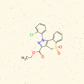 CCOC(=O)c1nn(-c2ccccc2Cl)c2c1CS(=O)(=O)c1ccccc1-2